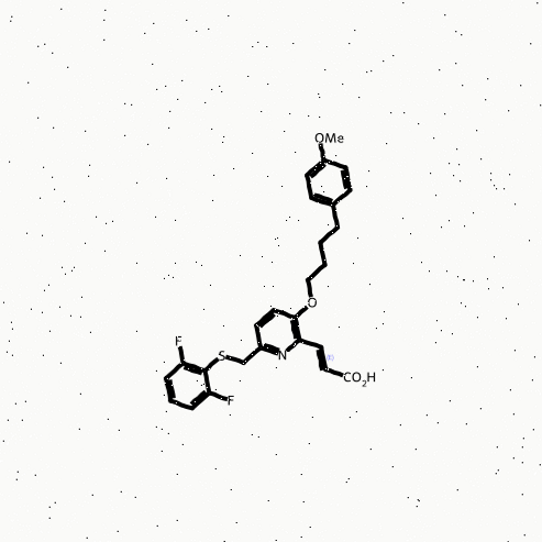 COc1ccc(CCCCOc2ccc(CSc3c(F)cccc3F)nc2/C=C/C(=O)O)cc1